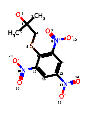 CC(C)([O])CSc1c([N+](=O)[O-])cc([N+](=O)[O-])cc1[N+](=O)[O-]